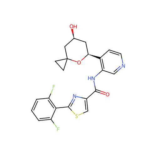 O=C(Nc1cnccc1[C@@H]1C[C@H](O)CC2(CC2)O1)c1csc(-c2c(F)cccc2F)n1